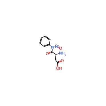 N[C@@H](CC(=O)O)C(=O)N([N+]=O)c1ccccc1